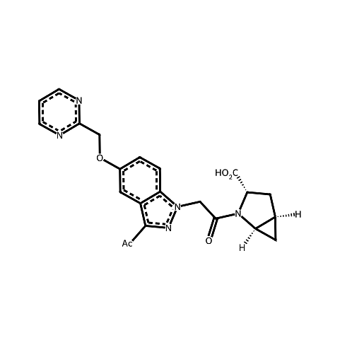 CC(=O)c1nn(CC(=O)N2[C@@H]3C[C@@H]3C[C@H]2C(=O)O)c2ccc(OCc3ncccn3)cc12